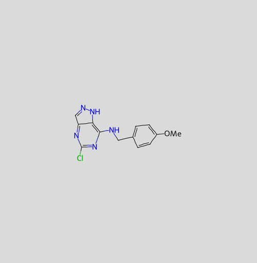 COc1ccc(CNc2nc(Cl)nc3cn[nH]c23)cc1